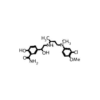 COc1ccc(N(C)CCC(C)NCC(O)c2ccc(O)c(C(N)=O)c2)cc1Cl